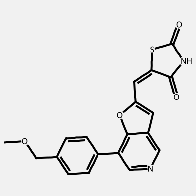 COCc1ccc(-c2cncc3cc(C=C4SC(=O)NC4=O)oc23)cc1